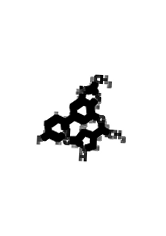 Cc1nc2cc(-c3ccc(F)cn3)cc(OC(C)C3CNC(=O)C3)c2s1